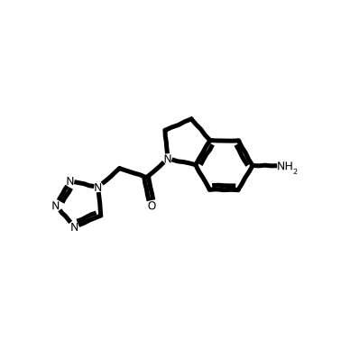 Nc1ccc2c(c1)CCN2C(=O)Cn1cnnn1